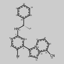 C[C@H](Nc1ncc(Br)c(-c2cnc3c(C#N)cccn23)n1)c1ccccc1